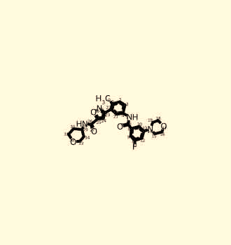 Cc1ccc(NC(=O)c2cc(F)cc(N3CCOCC3)c2)cc1-c1cc(C(=O)NC2CCOCC2)on1